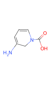 NC1=CC=CN(C(=O)O)C1